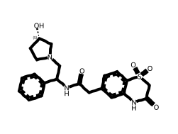 O=C1CS(=O)(=O)c2ccc(CC(=O)NC(CN3CC[C@H](O)C3)c3ccccc3)cc2N1